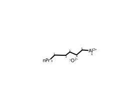 CCCCCCC[CH2][Al+2].[O-2]